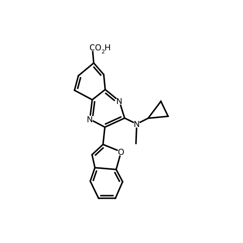 CN(c1nc2cc(C(=O)O)ccc2nc1-c1cc2ccccc2o1)C1CC1